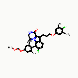 COCOc1cc(C)c(-c2c(Cl)ccc3c(CCCOc4cc(C)c(Cl)c(C)c4)c4n(c23)C(C)CNC4=O)c(C)c1